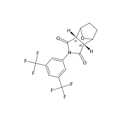 O=C1[C@@H]2C3CCC(O3)[C@@H]2C(=O)N1c1cc(C(F)(F)F)cc(C(F)(F)F)c1